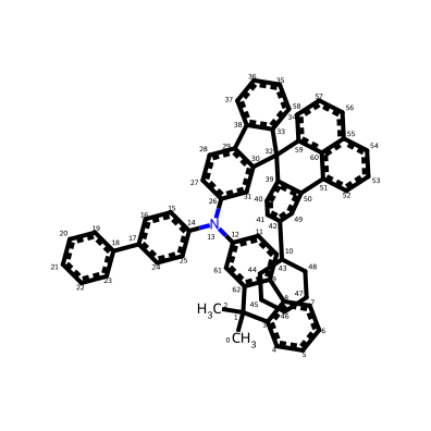 CC1(C)c2ccccc2-c2ccc(N(c3ccc(-c4ccccc4)cc3)c3ccc4c(c3)C3(c5ccccc5-4)c4ccc(C5CCCCC5)cc4-c4cccc5cccc3c45)cc21